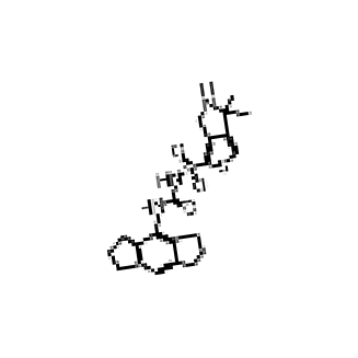 CC1(C)NCc2c1csc2S(=O)(=O)NC(=O)Nc1c2c(cc3c1CCC3)CCC2